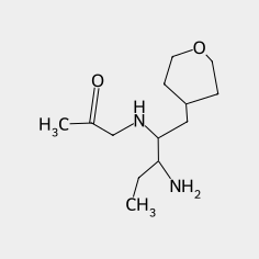 CCC(N)C(CC1CCOCC1)NCC(C)=O